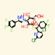 OC[C@H]1O[C@@H](SC(c2nc(Cl)ccc2Cl)C2(O)CCC(F)(F)CC2)[C@H](O)[C@@H](n2cc(-c3cc(F)c(F)c(F)c3)nn2)[C@H]1O